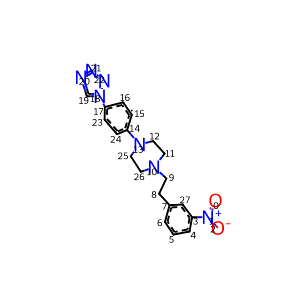 O=[N+]([O-])c1cccc(CCN2CCN(c3[c]cc(-n4cnnn4)cc3)CC2)c1